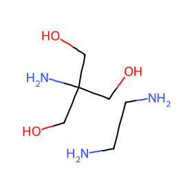 NC(CO)(CO)CO.NCCN